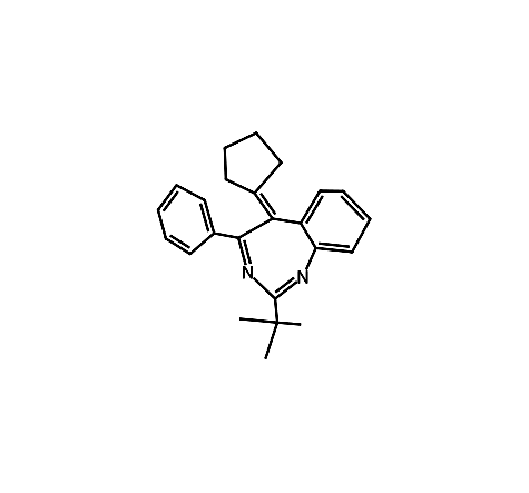 CC(C)(C)C1=Nc2ccccc2C(=C2CCCC2)C(c2ccccc2)=N1